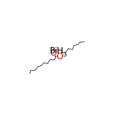 CCCCCCCCCC(=O)OCCCCCCCC.[BiH3]